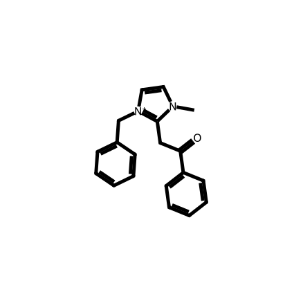 Cn1cc[n+](Cc2ccccc2)c1CC(=O)c1ccccc1